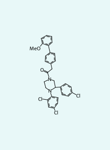 COc1ccccc1-c1ccc(CC(=O)N2CCN(c3ccc(Cl)cc3Cl)C(c3ccc(Cl)cc3)C2)cc1